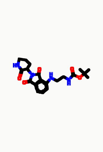 CC(C)(C)OC(=O)NCCNc1cccc2c1C(=O)N(C1CCCNC1=O)C2=O